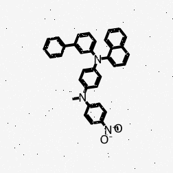 CN(c1ccc(N(c2cccc(-c3ccccc3)c2)c2cccc3ccccc23)cc1)c1ccc([N+](=O)[O-])cc1